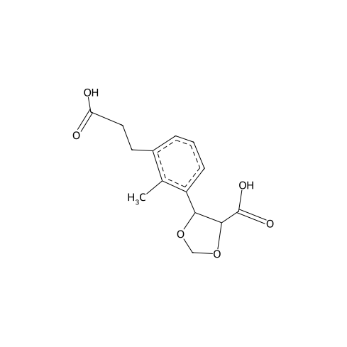 Cc1c(CCC(=O)O)cccc1C1OCOC1C(=O)O